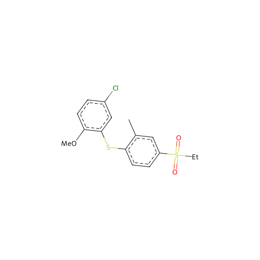 CCS(=O)(=O)c1ccc(Sc2cc(Cl)ccc2OC)c(C)c1